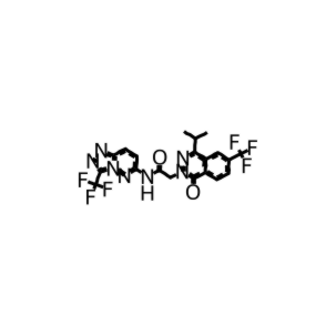 CC(C)c1nn(CC(=O)Nc2ccc3nnc(C(F)(F)F)n3n2)c(=O)c2ccc(C(F)(F)F)cc12